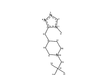 Cn1cnnc1CC1CCN(CC(C)(C)C)CC1